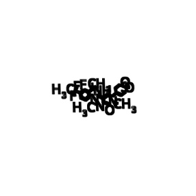 Cc1nc(N[C@H](C)c2cccc(C(C)(F)F)c2F)c2cc(C3=CCS(=O)(=O)CC3)n(C)c(=O)c2n1